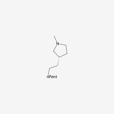 CCCCCCC[C@H]1CCN(C)C1